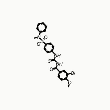 COc1ccc(C(=O)NC(=S)Nc2ccc(S(=O)(=O)N(C)c3ccccc3)cc2)cc1Br